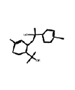 CC1=CC(CC(C)(O)C2CC=C(C)CC2)C(C(C)(C)O)CC1